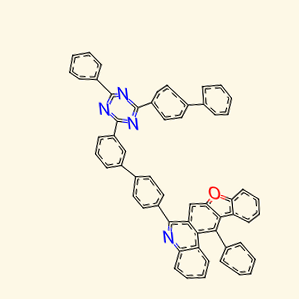 c1ccc(-c2ccc(-c3nc(-c4ccccc4)nc(-c4cccc(-c5ccc(-c6nc7ccccc7c7c(-c8ccccc8)c8c(cc67)oc6ccccc68)cc5)c4)n3)cc2)cc1